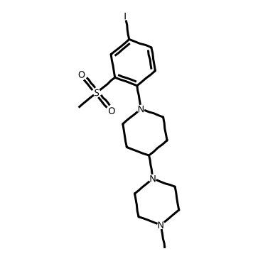 CN1CCN(C2CCN(c3ccc(I)cc3S(C)(=O)=O)CC2)CC1